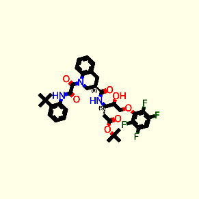 CC(C)(C)OC(=O)C[C@H](NC(=O)[C@@H]1Cc2ccccc2N(C(=O)C(=O)Nc2ccccc2C(C)(C)C)C1)C(O)COc1c(F)c(F)cc(F)c1F